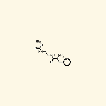 CC(C)(C)OC(=O)NCCNC(=O)C(N)Cc1ccccc1